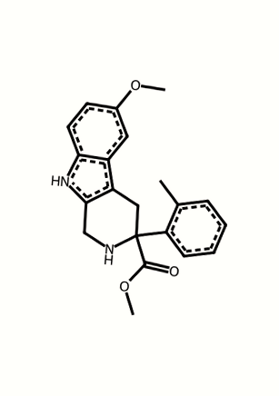 COC(=O)C1(c2ccccc2C)Cc2c([nH]c3ccc(OC)cc23)CN1